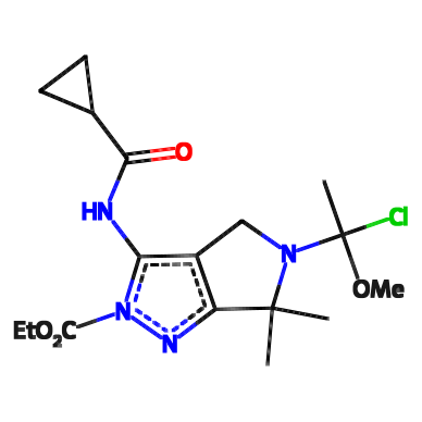 CCOC(=O)n1nc2c(c1NC(=O)C1CC1)CN(C(C)(Cl)OC)C2(C)C